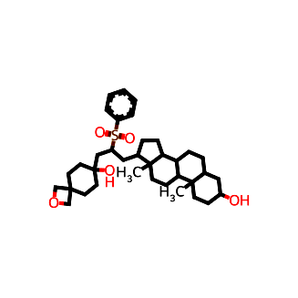 CC12CCC(O)CC1CCC1C2CCC2(C)C(CC(CC3(O)CCC4(CC3)COC4)S(=O)(=O)c3ccccc3)CCC12